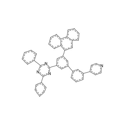 c1ccc(-c2nc(-c3ccccc3)nc(-c3cc(-c4cccc(-c5ccncc5)c4)cc(-c4cc5ccccc5c5ccccc45)c3)n2)cc1